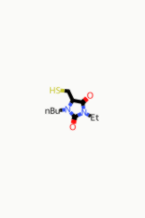 CCCCN1C(=O)N(CC)C(=O)C1CS